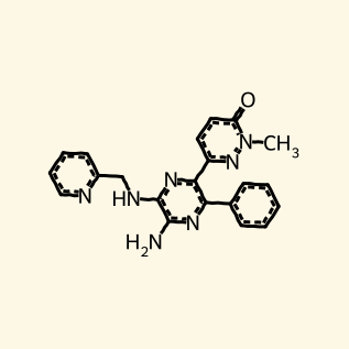 Cn1nc(-c2nc(NCc3ccccn3)c(N)nc2-c2ccccc2)ccc1=O